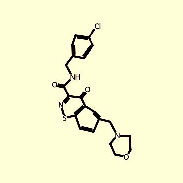 O=C(NCc1ccc(Cl)cc1)c1nsc2ccc(CN3CCOCC3)cc2c1=O